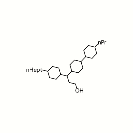 CCCCCCCC1CCC(C(CCO)C2CCC(C3CCC(CCC)CC3)CC2)CC1